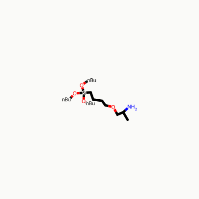 CCCCO[Si](CCCCOCC(C)N)(OCCCC)OCCCC